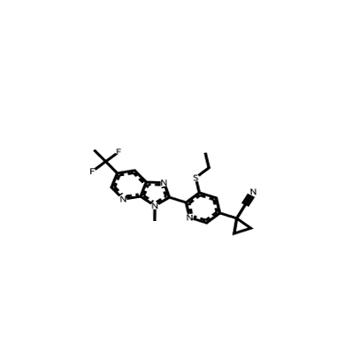 CCSc1cc(C2(C#N)CC2)cnc1-c1nc2cc(C(C)(F)F)cnc2n1C